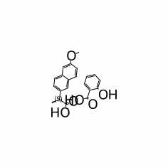 COc1ccc2cc([C@H](C)C(=O)O)ccc2c1.O=C(O)c1ccccc1O